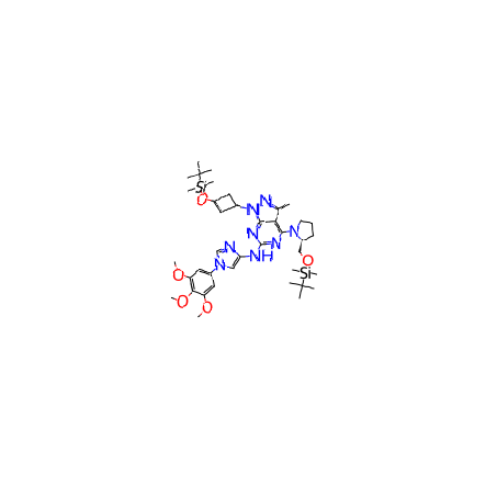 COc1cc(-n2cnc(Nc3nc(N4CCC[C@H]4CO[Si](C)(C)C(C)(C)C)c4c(C)nn(C5CC(O[Si](C)(C)C(C)(C)C)C5)c4n3)c2)cc(OC)c1OC